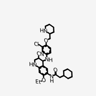 CCOc1cc2c(cc1NC(=O)CC1CCCCC1)C(Nc1ccc(OCC3CCCCN3)c(Cl)c1)C(C#N)CN2